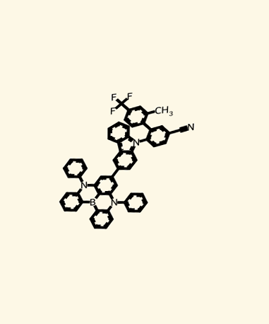 Cc1cc(C(F)(F)F)ccc1-c1cc(C#N)ccc1-n1c2ccccc2c2cc(-c3cc4c5c(c3)N(c3ccccc3)c3ccccc3B5c3ccccc3N4c3ccccc3)ccc21